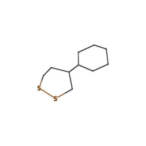 C1CCC(C2CCSSC2)CC1